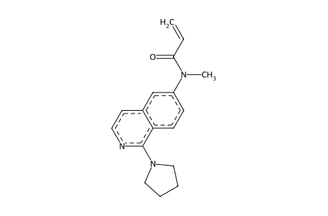 C=CC(=O)N(C)c1ccc2c(N3CCCC3)nccc2c1